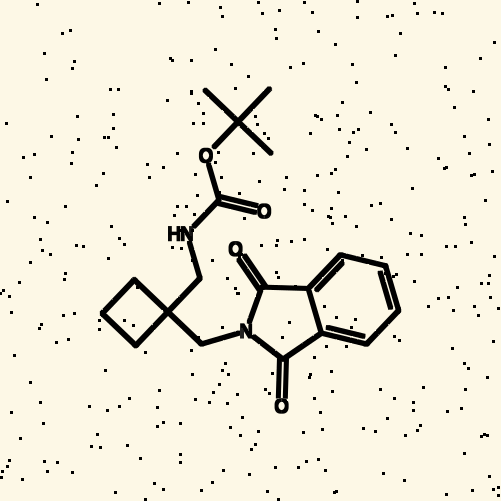 CC(C)(C)OC(=O)NCC1(CN2C(=O)c3ccccc3C2=O)CCC1